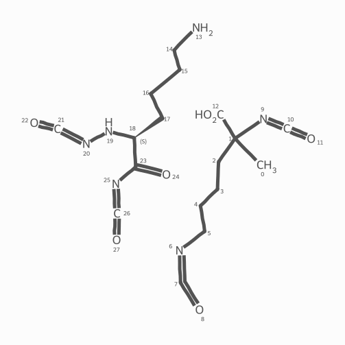 CC(CCCCN=C=O)(N=C=O)C(=O)O.NCCCC[C@H](NN=C=O)C(=O)N=C=O